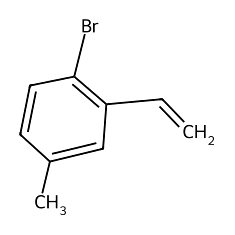 C=Cc1cc(C)ccc1Br